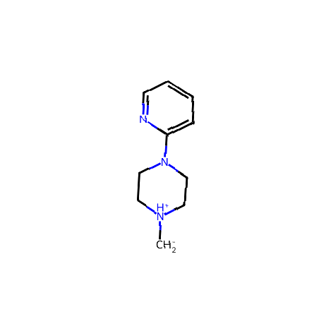 [CH2-][NH+]1CCN(c2ccccn2)CC1